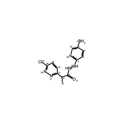 Bc1ccc(NNC(=O)C(C)c2ccc(Cl)nn2)nc1